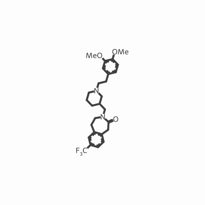 COc1ccc(CCN2CCCC(CN3CCc4cc(C(F)(F)F)ccc4CC3=O)C2)cc1OC